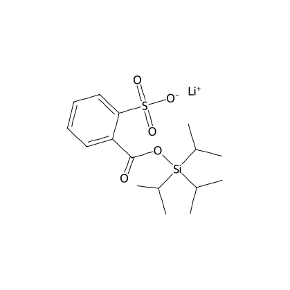 CC(C)[Si](OC(=O)c1ccccc1S(=O)(=O)[O-])(C(C)C)C(C)C.[Li+]